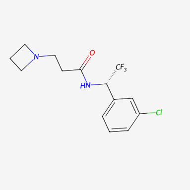 O=C(CCN1CCC1)N[C@@H](c1cccc(Cl)c1)C(F)(F)F